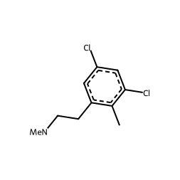 CNCCc1cc(Cl)cc(Cl)c1C